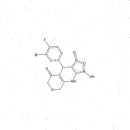 CCCn1oc(=O)c2c1NC1=C(C(=O)COC1)C2c1ccc(F)c(Br)c1